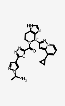 CC(P)n1cc(-c2nnc(C(=O)N3CCc4[nH]cnc4[C@H]3c3cc4c(C5CC5)cccn4n3)o2)cn1